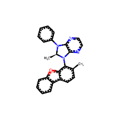 Cc1ccc2c(oc3ccccc32)c1N1c2nccnc2N(c2ccccc2)[C@@H]1C